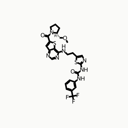 COC[C@H]1CCCN1C(=O)c1cc2ncnc(NCCc3cnc(NC(=O)Nc4cccc(C(F)(F)F)c4)s3)c2s1